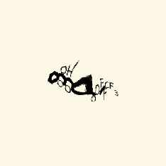 O=C(OCC(F)(F)C(F)(F)F)c1ccc(Cc2c(O)c3ccccc3oc2=O)cc1